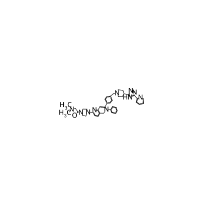 CN(C)CC(=O)N1CCN(c2ccc3c(n2)C=C(c2ccc(CN4CCC(c5nnc(-c6ccccn6)[nH]5)CC4)cc2)N(c2ccccc2)C3)CC1